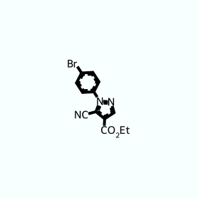 CCOC(=O)c1cnn(-c2ccc(Br)cc2)c1C#N